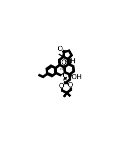 CCc1ccc2c(c1)C[C@]13CCC4(C[C@]1(O)CC[C@H]1[C@@H]5CCC(=O)[C@@]5(C)CC2[C@@]13O)OCC(C)(C)CO4